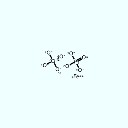 O=P([O-])([O-])[O-].[Fe+4].[O-][Cl+3]([O-])([O-])[O-]